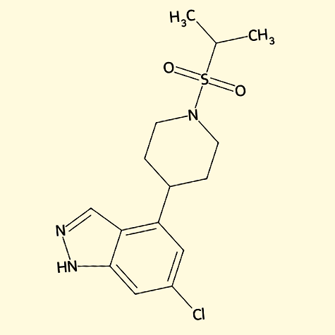 CC(C)S(=O)(=O)N1CCC(c2cc(Cl)cc3[nH]ncc23)CC1